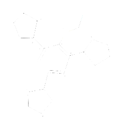 FCSc1c(C2CCCC2)cc(C2CCCC2)cc1C1CCCC1